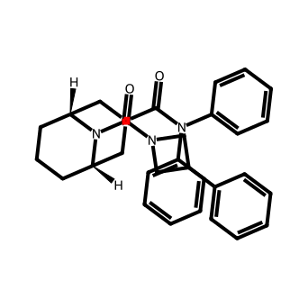 O=C(N1C[C@H]2CCC[C@@H](C1)N2C(=O)N1CC(c2ccccc2)C1)N(c1ccccc1)c1ccccc1